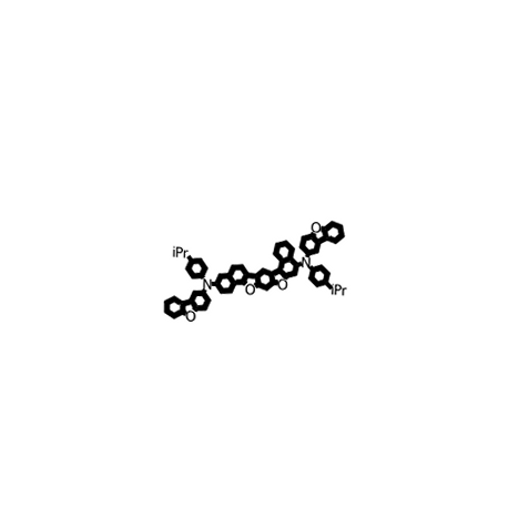 CC(C)c1ccc(N(c2ccc3c(ccc4c5cc6c(cc5oc34)oc3cc(N(c4ccc(C(C)C)cc4)c4ccc5oc7ccccc7c5c4)c4ccccc4c36)c2)c2ccc3oc4ccccc4c3c2)cc1